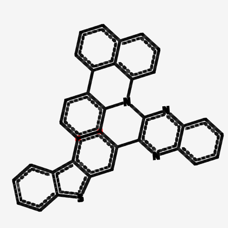 c1ccc2c(c1)-c1cccc3cccc(c13)N2c1nc2ccccc2nc1-c1ccc2c(c1)sc1ccccc12